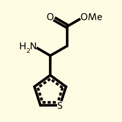 COC(=O)CC(N)c1ccsc1